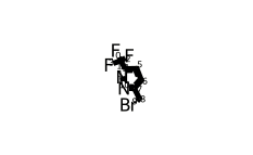 FC(F)(F)c1ccc(CBr)nn1